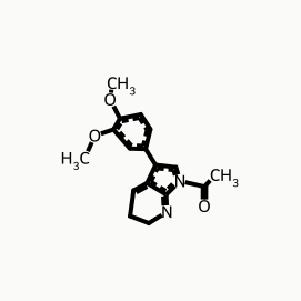 COc1ccc(-c2cn(C(C)=O)c3c2=CCCN=3)cc1OC